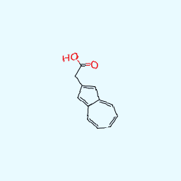 O=C(O)Cc1cc2cccccc-2c1